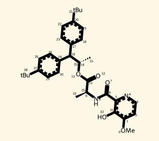 COc1ccnc(C(=O)N[C@@H](C)C(=O)O[C@@H](C)C(c2ccc(C(C)(C)C)cc2)c2ccc(C(C)(C)C)cc2)c1O